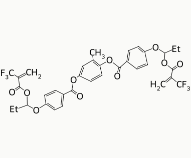 C=C(C(=O)OC(CC)Oc1ccc(C(=O)Oc2ccc(OC(=O)c3ccc(OC(CC)OC(=O)C(=C)C(F)(F)F)cc3)c(C)c2)cc1)C(F)(F)F